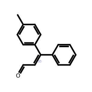 Cc1ccc(/C(=C\C=O)c2ccccc2)cc1